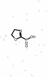 O=[PH](O)C1=NCCO1